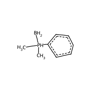 B[PH](C)(C)c1ccccc1